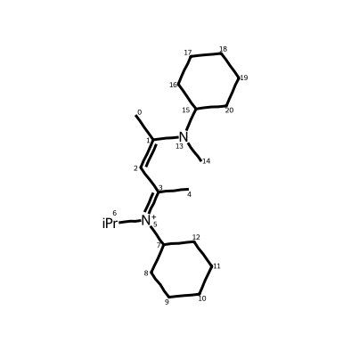 C/C(=C/C(C)=[N+](\C(C)C)C1CCCCC1)N(C)C1CCCCC1